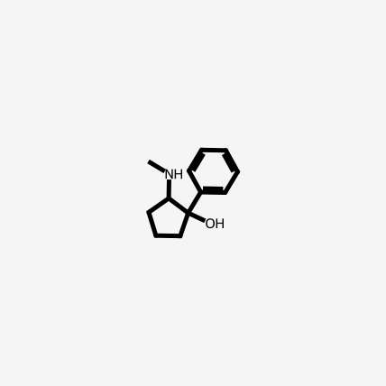 CNC1CCCC1(O)c1ccccc1